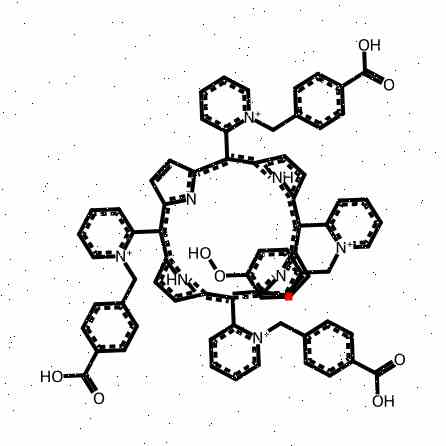 O=C(O)c1ccc(C[n+]2ccccc2-c2c3nc(c(-c4cccc[n+]4Cc4ccc(C(=O)O)cc4)c4ccc([nH]4)c(-c4cccc[n+]4Cc4ccc(C(=O)O)cc4)c4nc(c(-c5cccc[n+]5Cc5ccc(OO)cc5)c5ccc2[nH]5)C=C4)C=C3)cc1